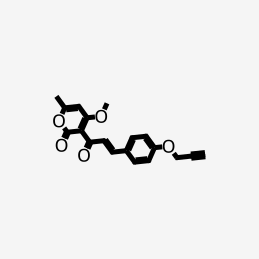 C#CCOc1ccc(C=CC(=O)c2c(OC)cc(C)oc2=O)cc1